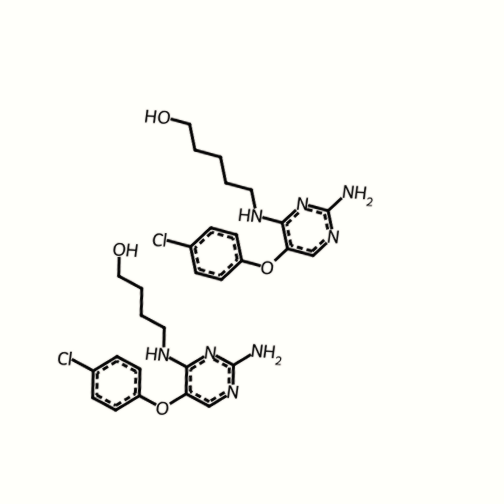 Nc1ncc(Oc2ccc(Cl)cc2)c(NCCCCCO)n1.Nc1ncc(Oc2ccc(Cl)cc2)c(NCCCCO)n1